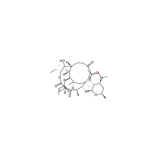 CCC(=O)/N=C1\[C@H](C)C[C@@]2(C)OCC(=O)CC[C@H]([C@H]1C)[C@](C)(O)[C@@H](CC)OC(=O)[C@@](C)(F)C(=O)[C@H](C)[C@H]2O[C@@H]1O[C@H](C)C[C@H](N(C)C)[C@H]1OC(C)=O